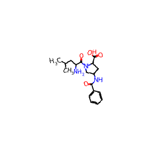 CC(C)CC(N)C(=O)N1CC(NC(=O)c2ccccc2)CC1C(=O)O